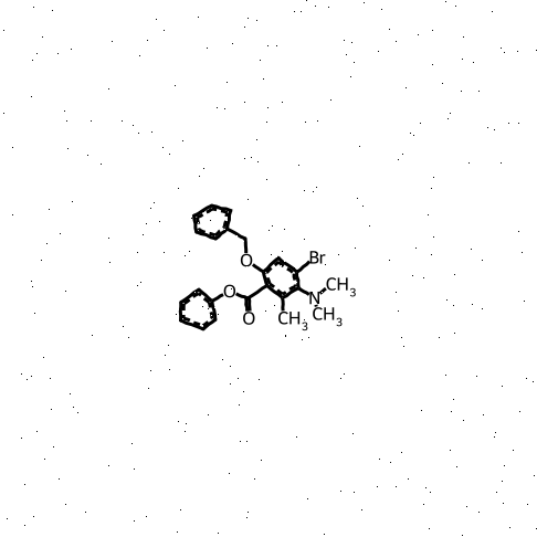 Cc1c(C(=O)Oc2ccccc2)c(OCc2ccccc2)cc(Br)c1N(C)C